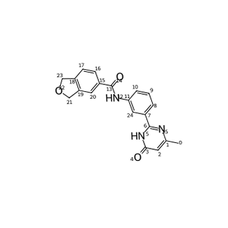 Cc1cc(=O)[nH]c(-c2cccc(NC(=O)c3ccc4c(c3)COC4)c2)n1